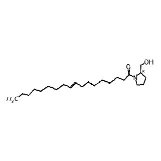 CCCCCCCCC=CCCCCCCCC(=O)N1CCC[C@@H]1CO